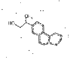 CC(CO)c1ccc2c(ccc3ccccc32)c1